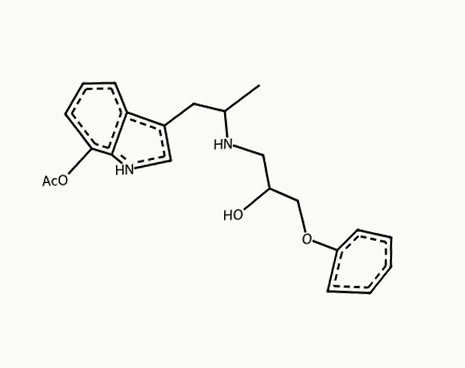 CC(=O)Oc1cccc2c(CC(C)NCC(O)COc3ccccc3)c[nH]c12